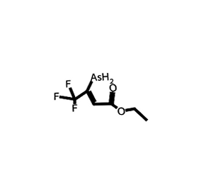 CCOC(=O)/C=C(\[AsH2])C(F)(F)F